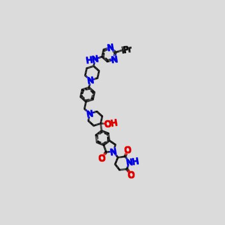 CC(C)c1ncc(NC2CCN(c3ccc(CN4CCC(O)(c5ccc6c(c5)CN(C5CCC(=O)NC5=O)C6=O)CC4)cc3)CC2)cn1